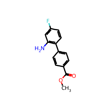 COC(=O)c1ccc(-c2ccc(F)cc2N)cc1